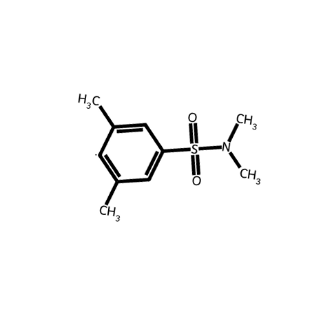 Cc1[c]c(C)cc(S(=O)(=O)N(C)C)c1